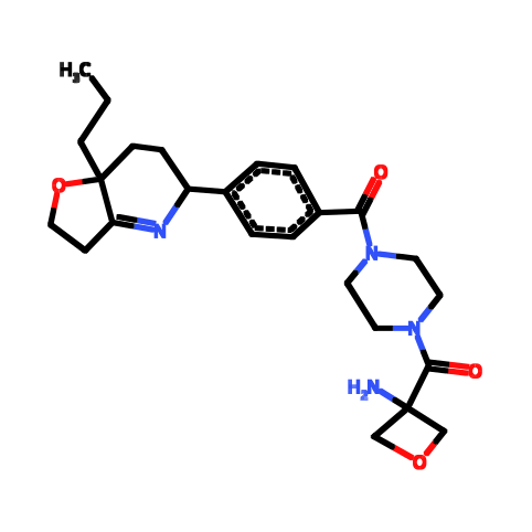 CCCC12CCC(c3ccc(C(=O)N4CCN(C(=O)C5(N)COC5)CC4)cc3)N=C1CCO2